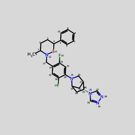 CC1CCC(c2ccccc2)SN1Cc1cc(F)c(N2CC3CC2C[C@H]3n2cnnc2)cc1F